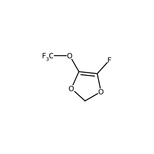 FC1=C(OC(F)(F)F)OCO1